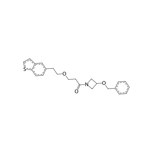 O=C(CCOCCc1ccc2sccc2c1)N1CC(OCc2ccccc2)C1